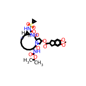 CC(C)OC(=O)N[C@H]1CCCCC/C=C\[C@@H]2C[C@@]2(C(=O)NS(=O)(=O)C2CC2)NC(=O)C2C[C@@H](OC(=O)C3Cc4cc5c(cc4C3)OCO5)CN2C1=O